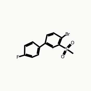 CS(=O)(=O)c1[c]c(-c2ccc(F)cc2)ccc1Br